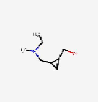 CCN(C)CC1CC1CO